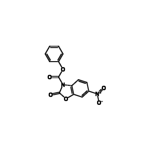 O=C(Oc1ccccc1)n1c(=O)oc2cc([N+](=O)[O-])ccc21